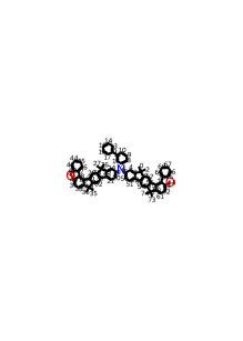 CC1(C)c2cc(N(c3cccc(-c4ccccc4)c3)c3ccc4c(c3)C(C)(C)c3cc5c(cc3-4)C(C)(C)c3ccc4oc6ccccc6c4c3-5)ccc2-c2cc3c(cc21)-c1c(ccc2oc4ccccc4c12)C3(C)C